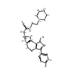 Cc1ccc(-c2nn(C(C)C)c3c2CCc2nc(NC(=O)OCCN4CCOCC4)sc2-3)cn1